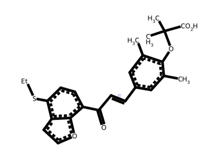 CCSc1ccc(C(=O)/C=C/c2cc(C)c(OC(C)(C)C(=O)O)c(C)c2)c2occc12